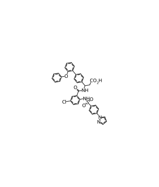 O=C(O)CC(NC(=O)c1cc(Cl)ccc1NS(=O)(=O)c1ccc(-n2cccn2)cc1)c1ccc(-c2ccccc2Oc2ccccc2)cc1